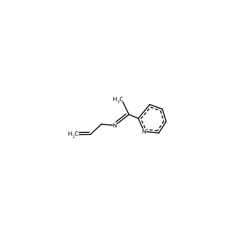 C=CCN=C(C)c1ccccn1